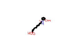 O=C(O)CCCCCCCCC(=O)Nc1ccccc1O